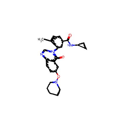 Cc1ccc(C(=O)NC2CC2)cc1-n1cnc2ccc(ON3CCCCC3)cc2c1=O